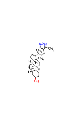 C=C(/C=C\c1cn[nH]c1C)C1=CC[C@H]2[C@@H]3CC[C@H]4C[C@H](O)CC[C@]4(C)[C@H]3CC[C@]12C